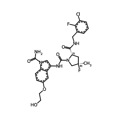 C[C@@]1(F)C[C@@H](C(=O)NCc2cccc(Cl)c2F)N(C(=O)Nc2cn(C(N)=O)c3ccc(OCCO)cc23)C1